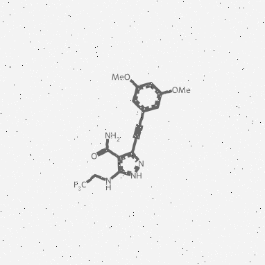 COc1cc(C#Cc2n[nH]c(NCC(F)(F)F)c2C(N)=O)cc(OC)c1